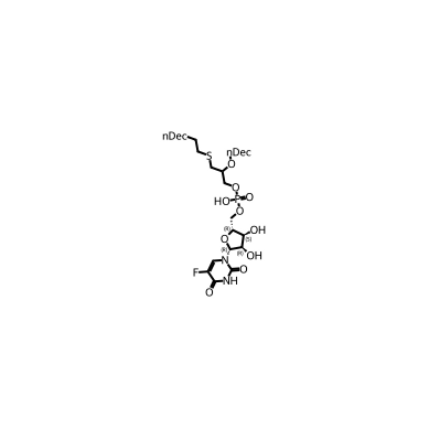 CCCCCCCCCCCCSCC(COP(=O)(O)OC[C@H]1O[C@@H](n2cc(F)c(=O)[nH]c2=O)[C@H](O)[C@@H]1O)OCCCCCCCCCC